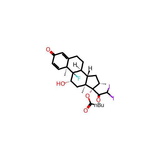 CCCCC(=O)O[C@@]1(C(=O)C(I)I)[C@@H](C)C[C@H]2[C@@H]3CCC4=CC(=O)C=C[C@]4(C)[C@@]3(F)[C@@H](O)C[C@@]21C